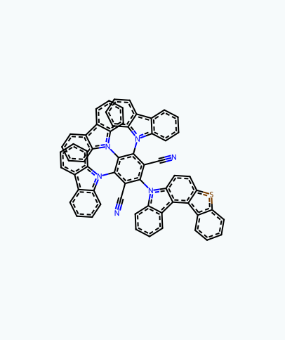 N#Cc1c(-n2c3ccccc3c3ccccc32)c(-n2c3ccccc3c3ccccc32)c(-n2c3ccccc3c3ccccc32)c(C#N)c1-n1c2ccccc2c2c3c(ccc21)sc1ccccc13